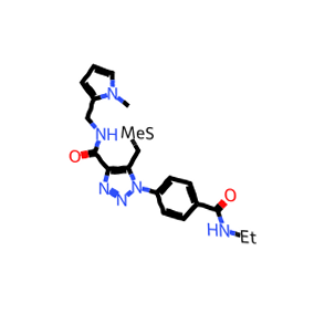 CCNC(=O)c1ccc(-n2nnc(C(=O)NCc3cccn3C)c2CSC)cc1